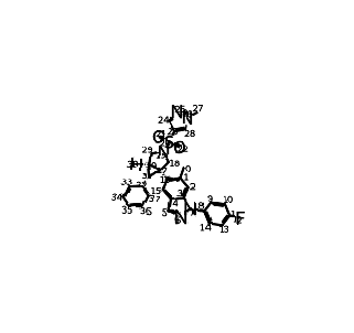 Cc1cc2c(cnn2-c2ccc(F)cc2)cc1[C@@]12CN(S(=O)(=O)c3cnn(C)c3)C[C@@H]1[C@H]2C1C=CC=CC1